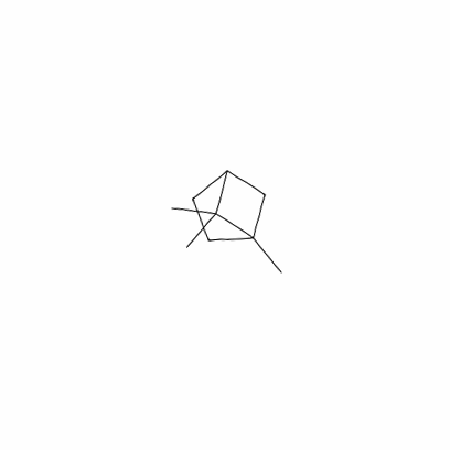 CC12CCC(C1)C2(C)C